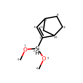 CO[SiH](OC)C1=CC2CCC1C2